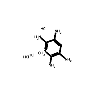 Cl.Cl.Cl.Nc1cc(N)c(N)nc1N.O